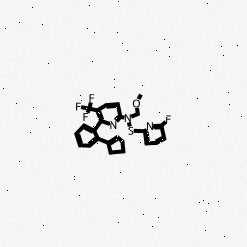 COCN(Sc1cccc(F)n1)c1ccc(C(F)(F)F)c(-c2ccccc2C2=CCCC2)n1